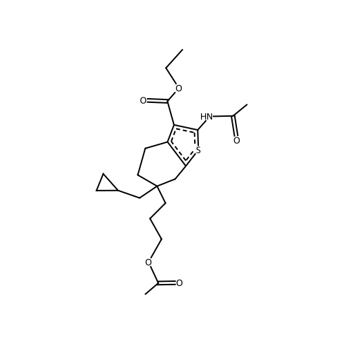 CCOC(=O)c1c(NC(C)=O)sc2c1CCC(CCCOC(C)=O)(CC1CC1)C2